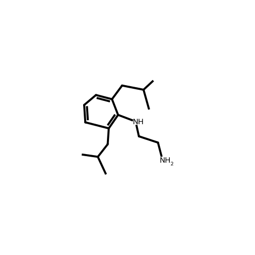 CC(C)Cc1cccc(CC(C)C)c1NCCN